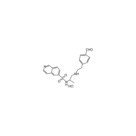 CC(CNCCc1ccc(C=O)cc1)NS(=O)(=O)c1ccc2cnccc2c1.Cl